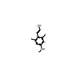 CNc1cc(C)c(/C=C/S)c(C)c1